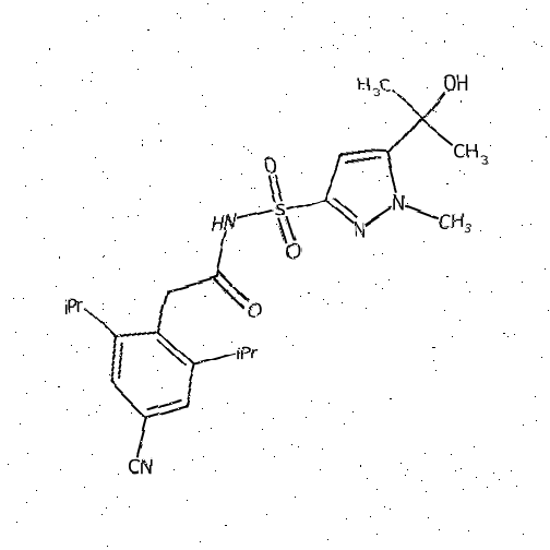 CC(C)c1cc(C#N)cc(C(C)C)c1CC(=O)NS(=O)(=O)c1cc(C(C)(C)O)n(C)n1